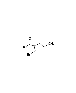 CCCC(CBr)C(=O)O